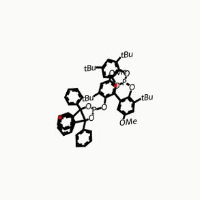 COc1cc(-c2cc(OC)cc(C(C)(C)C)c2OP2OC(c3ccccc3)(c3ccccc3)C(c3ccccc3)(c3ccccc3)O2)c(OP2Oc3cc(C(C)(C)C)cc(C(C)(C)C)c3O2)c(C(C)(C)C)c1